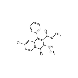 CNn1c(C(=O)OC)c(-c2ccccc2)c2cc(Cl)ccc2c1=O